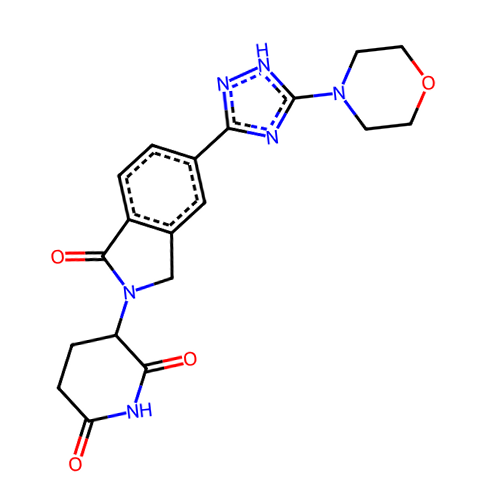 O=C1CCC(N2Cc3cc(-c4n[nH]c(N5CCOCC5)n4)ccc3C2=O)C(=O)N1